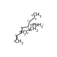 C=C.C=CCCCCCC.[PbH2]